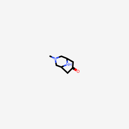 CN1CC2CC(=O)CC(C1)N2